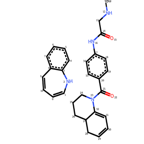 C1=CNc2ccccc2C=C1.CC(C)(C)NCC(=O)Nc1ccc(C(=O)N2CCCC3CC=CC=C32)cc1